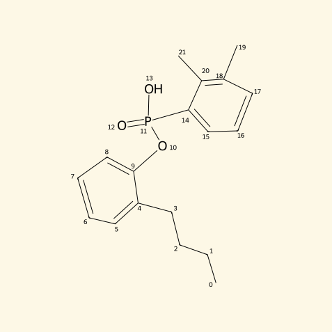 CCCCc1ccccc1OP(=O)(O)c1cccc(C)c1C